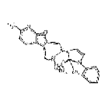 CB1C=c2c(oc3nc(C)ccc23)=CN1N1C=CN(c2ccccc2)C1(C)C